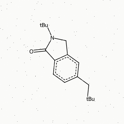 CC(C)(C)Cc1ccc2c(c1)CN(C(C)(C)C)C2=O